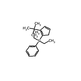 CC[Si](CC)(C1=C(C(C)(C)C)C=CC1)c1ccccc1